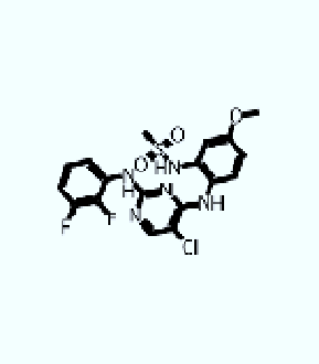 COc1ccc(Nc2nc(Nc3cccc(F)c3F)ncc2Cl)c(NS(C)(=O)=O)c1